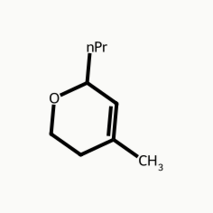 CCCC1C=C(C)CCO1